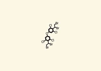 Clc1cc(Oc2cc(Cl)c(C(Br)CBr)c(Cl)c2)cc(Cl)c1C(Br)CBr